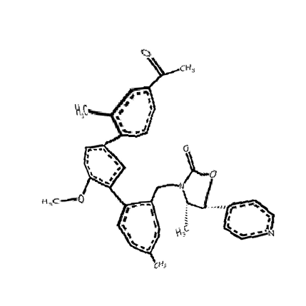 COc1ccc(-c2ccc(C(C)=O)cc2C)cc1-c1ccc(C)cc1CN1C(=O)O[C@H](c2ccncc2)[C@@H]1C